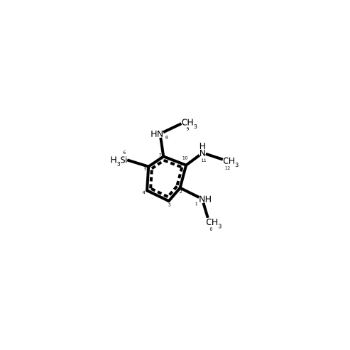 CNc1ccc([SiH3])c(NC)c1NC